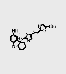 CC(C)(C)c1cnc(CSc2cnc(NC3(c4cc(N)ccc4N)CCCCC3)s2)o1